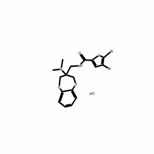 CN(C)C1(CNC(=O)c2cc(Br)c(Br)s2)COc2ccccc2OC1.Cl